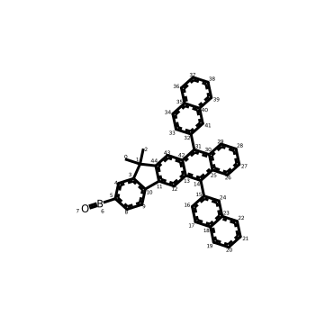 CC1(C)c2cc(B=O)ccc2-c2cc3c(-c4ccc5ccccc5c4)c4ccccc4c(-c4ccc5ccccc5c4)c3cc21